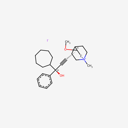 CO[C@]1(C#C[C@](O)(c2ccccc2)C2CCCCCC2)C[N+]2(C)CCC1CC2.[I-]